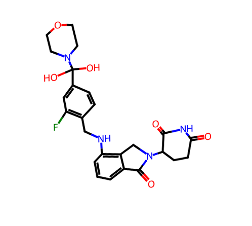 O=C1CCC(N2Cc3c(NCc4ccc(C(O)(O)N5CCOCC5)cc4F)cccc3C2=O)C(=O)N1